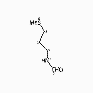 CSCCCNC=O